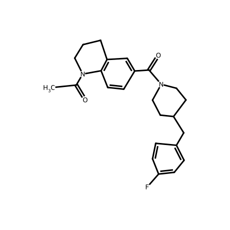 CC(=O)N1CCCc2cc(C(=O)N3CCC(Cc4ccc(F)cc4)CC3)ccc21